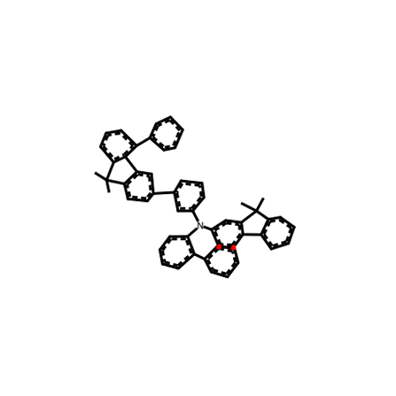 CC1(C)c2ccccc2-c2ccc(N(c3cccc(-c4ccc5c(c4)-c4c(-c6ccccc6)cccc4C5(C)C)c3)c3ccccc3-c3ccccc3)cc21